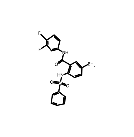 Bc1ccc(NS(=O)(=O)c2ccccc2)c(C(=O)Nc2ccc(F)c(F)c2)c1